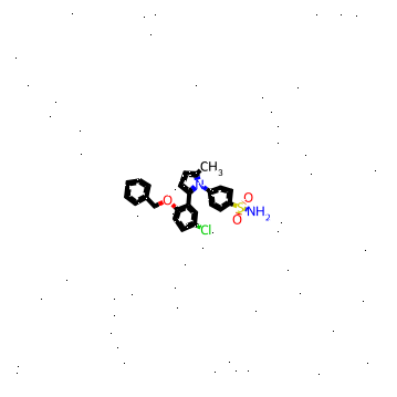 Cc1ccc(-c2cc(Cl)ccc2OCc2ccccc2)n1-c1ccc(S(N)(=O)=O)cc1